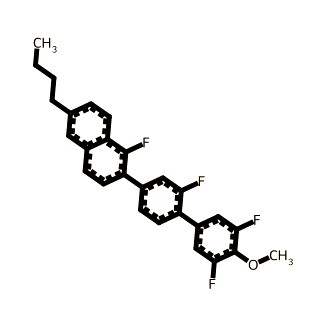 CCCCc1ccc2c(F)c(-c3ccc(-c4cc(F)c(OC)c(F)c4)c(F)c3)ccc2c1